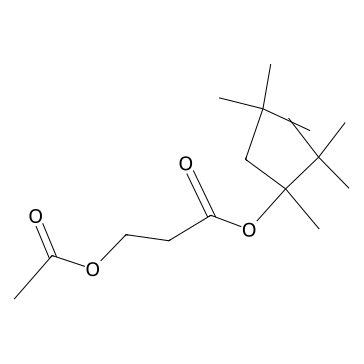 CC(=O)OCCC(=O)OC(C)(CC(C)(C)C)C(C)(C)C